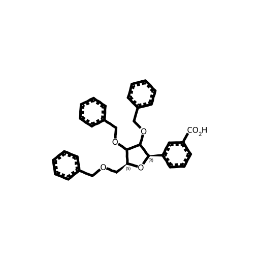 O=C(O)c1cccc([C@H]2O[C@@H](COCc3ccccc3)C(OCc3ccccc3)C2OCc2ccccc2)c1